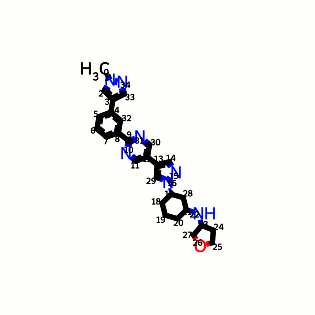 Cn1cc(-c2cccc(-c3ncc(-c4cnn([C@@H]5CCCC(NC6CCOC6)C5)c4)cn3)c2)cn1